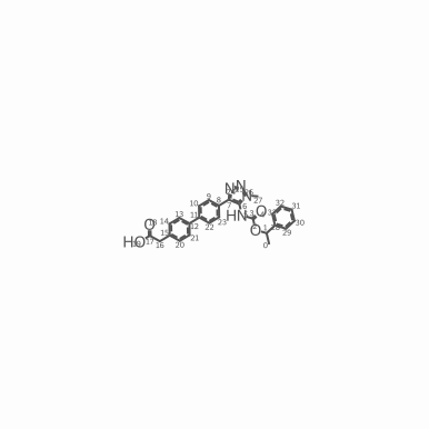 CC(OC(=O)Nc1c(-c2ccc(-c3ccc(CC(=O)O)cc3)cc2)nnn1C)c1ccccc1